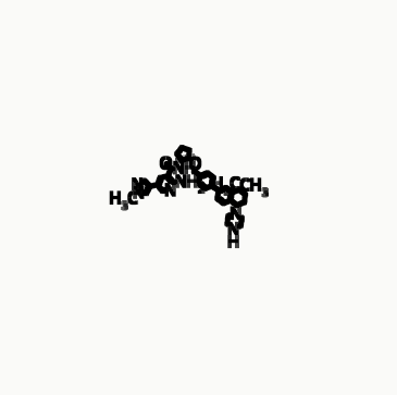 Cn1cc(-c2cnc(N)c(C(=O)N[C@H]3CCC[C@@H]3OCc3ccc(-c4ccc5c(c4)C(C)(C)CCC5N4CCNCC4)cc3)c2)cn1